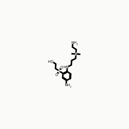 C[N+](C)(CCN)CCCNc1ccc(N)cc1S(=O)(=O)CCO